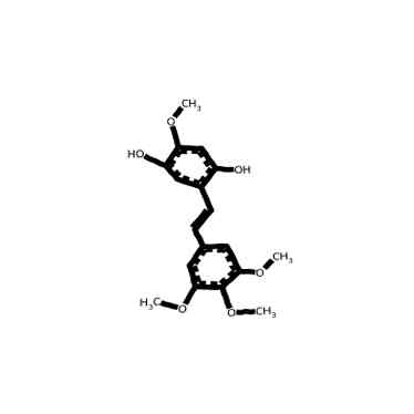 COc1cc(O)c(C=Cc2cc(OC)c(OC)c(OC)c2)cc1O